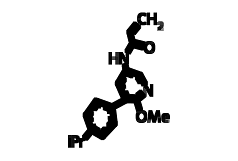 C=CC(=O)Nc1cnc(OC)c(-c2ccc(C(C)C)cc2)c1